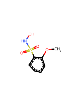 COc1ccccc1S(=O)(=O)NO